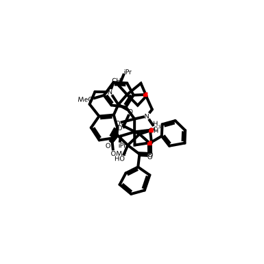 COc1ccc2c(c1)C(OC(=O)C(O)(C(=O)c1ccccc1)C(O)(C(=O)OC1(C3(CC(C)C)CCC3)c3cc(OC)ccc3CCN1C)C(=O)c1ccccc1)(C1(CC(C)C)CCC1)N(C)CC2